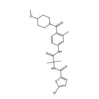 COC1CCN(C(=O)c2ccc(NC(=O)C(C)(C)NC(=O)c3ccc(Cl)s3)cc2C)CC1